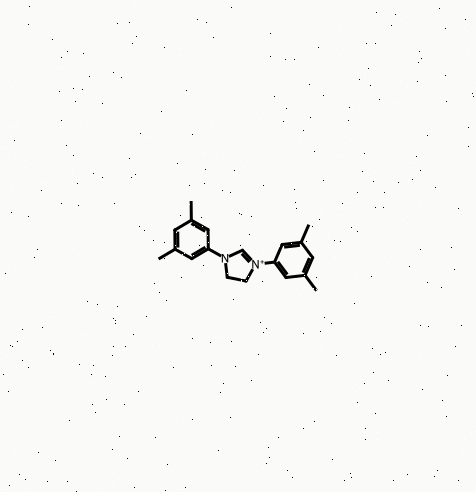 Cc1cc(C)cc(N2C=[N+](c3cc(C)cc(C)c3)CC2)c1